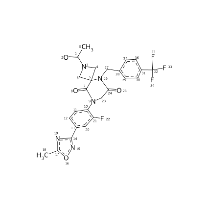 CC(=O)N1CC2(C1)C(=O)N(c1ccc(-c3noc(C)n3)cc1F)CC(=O)N2Cc1ccc(C(F)(F)F)cc1